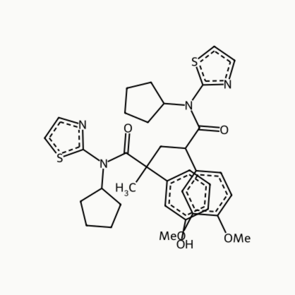 COc1ccc(C(CC(C)(C(=O)N(c2nccs2)C2CCCC2)c2cccc(O)c2)C(=O)N(c2nccs2)C2CCCC2)cc1OC